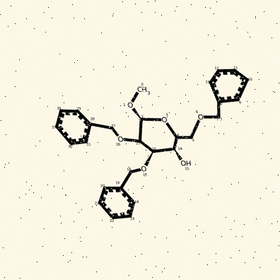 CO[C@H]1OC(COCc2ccccc2)[C@@H](O)[C@@H](OCc2ccccc2)C1OCc1ccccc1